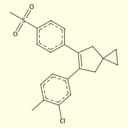 Cc1ccc(C2=C(c3ccc(S(C)(=O)=O)cc3)CC3(CC3)C2)cc1Cl